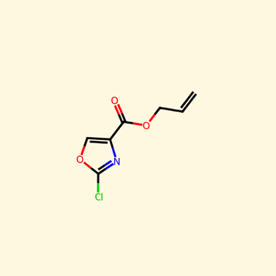 C=CCOC(=O)c1coc(Cl)n1